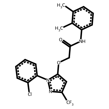 Cc1cccc(NC(=O)COc2cc(C(F)(F)F)nn2-c2ccccc2Cl)c1C